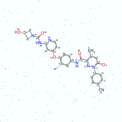 Cc1cc(=O)n(-c2ccc(C#N)cc2)nc1C(=O)Nc1ccc(Oc2ccnc(NC(=O)N3CC(O)C3)c2)c(F)c1